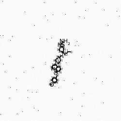 CCCN(CCN1CCN(c2ccnc3c(OCc4ccc(OC)cc4)cccc23)CC1)C1CCc2nc(N)sc2C1